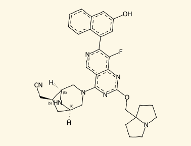 N#CC[C@@H]1C[C@@H]2CN(c3nc(OCC45CCCN4CCC5)nc4c(F)c(-c5cc(O)cc6ccccc56)ncc34)C[C@H]1N2